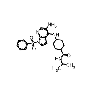 CC(C)NC(=O)C1CCC(Nc2c(N)cnc3c2ccn3S(=O)(=O)c2ccccc2)CC1